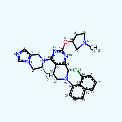 C[C@@H]1Cn2cncc2CN1c1nc(O[C@H]2CCN(C)C2)nc2c1CCN(c1cccc3cccc(Cl)c13)C2